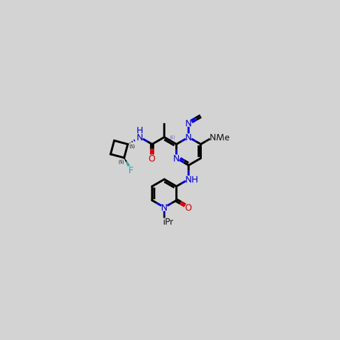 C=NN1C(NC)=CC(Nc2cccn(C(C)C)c2=O)=N/C1=C(/C)C(=O)N[C@H]1CC[C@@H]1F